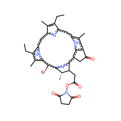 CCC1=C(C)c2cc3[nH]c(c(C)c3CC)c(Br)c3nc(c4c5[nH]c(cc1n2)c(C)c5C(=O)C4)C(CC(=O)ON1C(=O)CCC1=O)[C@@H]3C